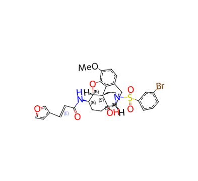 COc1ccc2c3c1O[C@H]1[C@H](NC(=O)/C=C/c4ccoc4)CC[C@@]4(O)[C@@H](C2)N(S(=O)(=O)c2cccc(Br)c2)CC[C@]314